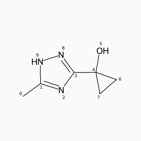 Cc1nc(C2(O)CC2)n[nH]1